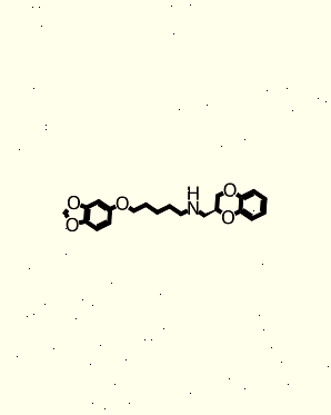 c1ccc2c(c1)OC[C@H](CNCCCCCOc1ccc3c(c1)OCO3)O2